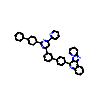 C1=CC(c2nc(-c3cccc(-c4ccc(-c5nc6ccccc6c6nc7ccccn7c56)cc4)c3)cc(-c3ccccn3)n2)CC=C1c1ccccc1